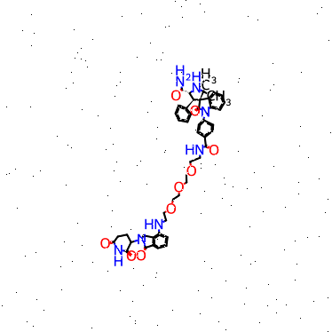 CC1(C)N[C@@H](C(N)=O)[C@H](c2ccccc2)[C@]12C(=O)N(c1ccc(C(=O)NCCOCCOCCOCCNc3cccc4c3CN(C3CCC(=O)NC3=O)C4=O)cc1)c1ccccc12